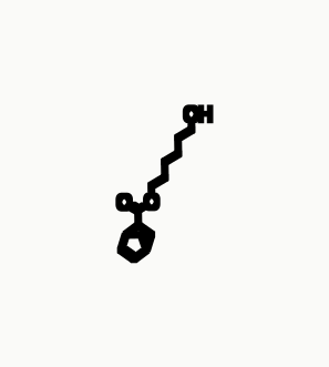 O=C(OCCCCCCO)C1CC2C=CC1C2